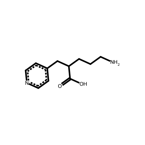 NCCCC(Cc1ccncc1)C(=O)O